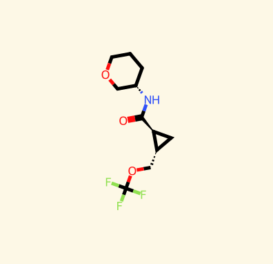 O=C(N[C@H]1CCCOC1)[C@H]1C[C@@H]1COC(F)(F)F